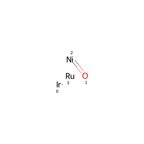 [Ir].[O]=[Ni].[Ru]